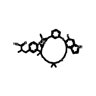 CC(Cc1cccc([C@@]2(C)CCCC(C)(C)CSCCc3c(c(F)cc4[nH]ccc34)Sc3cccc(c3)-c3nc2nn3C)c1)C(=O)O